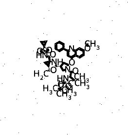 C=C[C@@H]1C[C@]1(NC(=O)[C@@H]1C[C@H](Oc2cc(-c3ccccc3)nc3cc(OC)ccc23)N(C(=O)[C@@H](NC(=O)OC(C)(C)C)C(C)(C)C)C1)C(=O)NS(=O)(=O)C1CC1